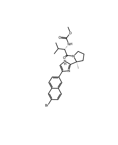 COC(=O)N[C@H](C(=O)N1CCC[C@@]1(C)c1nc(-c2ccc3cc(Br)ccc3c2)c[nH]1)C(C)C